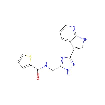 O=C(NCc1nc(-c2c[nH]c3ncccc23)n[nH]1)c1cccs1